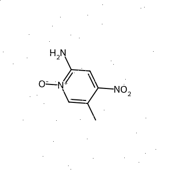 Cc1c[n+]([O-])c(N)cc1[N+](=O)[O-]